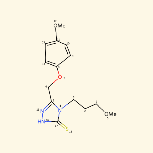 COCCCn1c(COc2ccc(OC)cc2)n[nH]c1=S